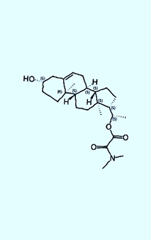 C[C@H](OC(=O)C(=O)N(C)C)[C@H]1CC[C@H]2[C@@H]3CC=C4C[C@@H](O)CC[C@]4(C)[C@H]3CC[C@]12C